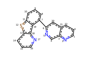 c1cnc2cnc(-c3cccc4sc5cccnc5c34)cc2c1